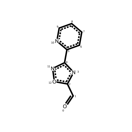 O=Cc1nc(-c2ccccn2)no1